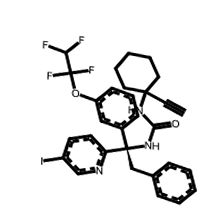 C#CC1(NC(=O)N[C@@](Cc2ccccc2)(c2cccc(OC(F)(F)C(F)F)c2)c2ccc(I)cn2)CCCCC1